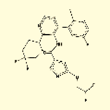 O=C(Nc1c(-c2cc(F)ccc2F)ncnc1C1CCC(F)(F)CO1)c1cc(OCC(F)F)ns1